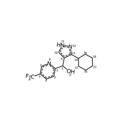 OC(c1ccc(C(F)(F)F)cn1)c1c[nH]nc1C1CCCCC1